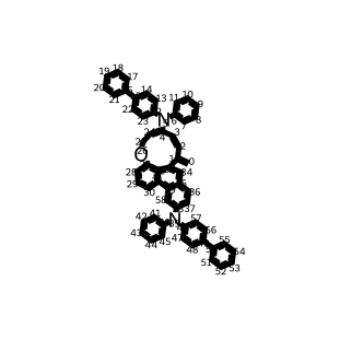 C=C1/C=C\C(N(c2ccccc2)c2ccc(-c3ccccc3)cc2)=C/COc2cccc3c2c1cc1ccc(N(c2ccccc2)c2ccc(-c4ccccc4)cc2)cc13